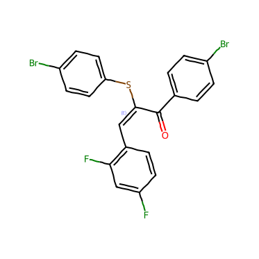 O=C(/C(=C\c1ccc(F)cc1F)Sc1ccc(Br)cc1)c1ccc(Br)cc1